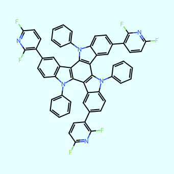 Fc1ccc(-c2ccc3c(c2)c2c(c4c5cc(-c6ccc(F)nc6F)ccc5n(-c5ccccc5)c4c4c5cc(-c6ccc(F)nc6F)ccc5n(-c5ccccc5)c24)n3-c2ccccc2)c(F)n1